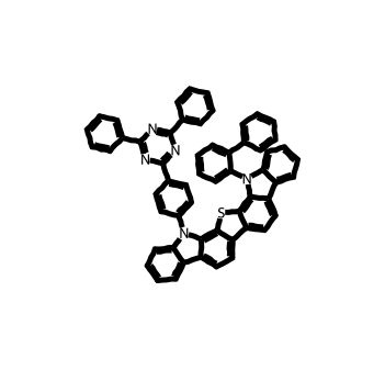 c1ccc(-c2nc(-c3ccccc3)nc(-c3ccc(-n4c5ccccc5c5ccc6c7ccc8c9ccccc9n(-c9ccccc9-c9ccccc9)c8c7sc6c54)cc3)n2)cc1